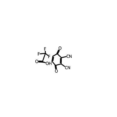 N#CC1=C(C#N)C(=O)C=CC1=O.O=C(O)C(F)(F)F